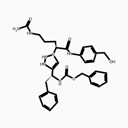 NC(=O)NCCC[C@@H](C(=O)Nc1ccc(CO)cc1)N1C=C([C@@H](Cc2ccccc2)NC(=O)OCc2ccccc2)NN1